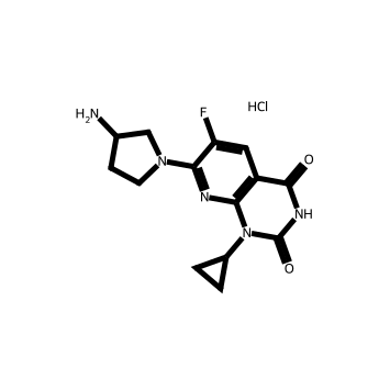 Cl.NC1CCN(c2nc3c(cc2F)c(=O)[nH]c(=O)n3C2CC2)C1